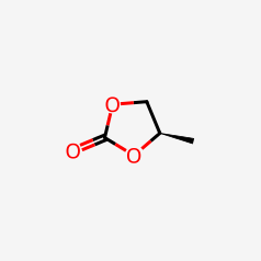 C[C@@H]1COC(=O)O1